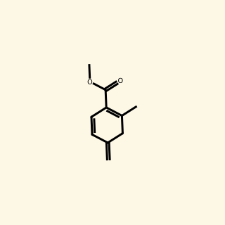 C=C1C=CC(C(=O)OC)=C(C)C1